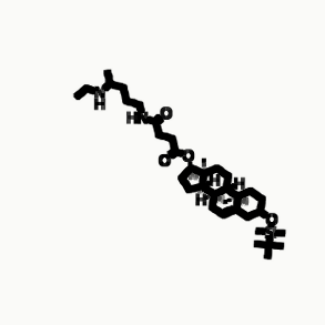 CCNC(C)CCCNC(=O)CCC(=O)O[C@H]1CC[C@H]2[C@@H]3CC=C4CC(O[Si](C)(C)C(C)(C)C)CC[C@]4(C)[C@H]3CC[C@]12C